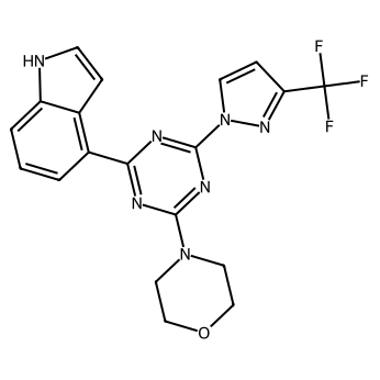 FC(F)(F)c1ccn(-c2nc(-c3cccc4[nH]ccc34)nc(N3CCOCC3)n2)n1